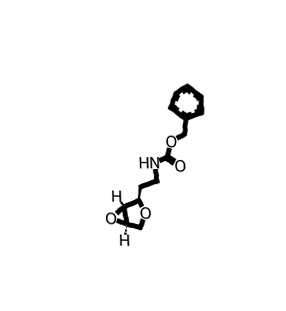 O=C(NCC[C@H]1OC[C@H]2O[C@@H]12)OCc1ccccc1